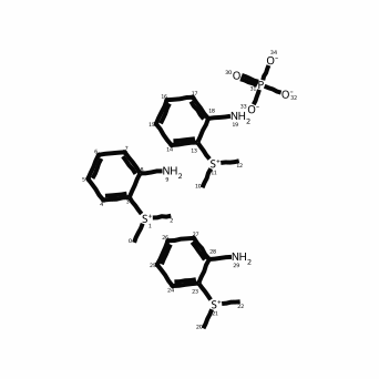 C[S+](C)c1ccccc1N.C[S+](C)c1ccccc1N.C[S+](C)c1ccccc1N.O=P([O-])([O-])[O-]